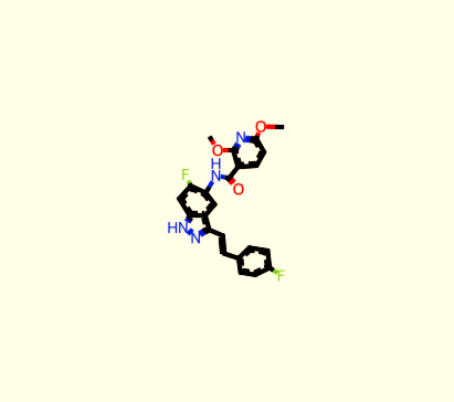 COc1ccc(C(=O)Nc2cc3c(C=Cc4ccc(F)cc4)n[nH]c3cc2F)c(OC)n1